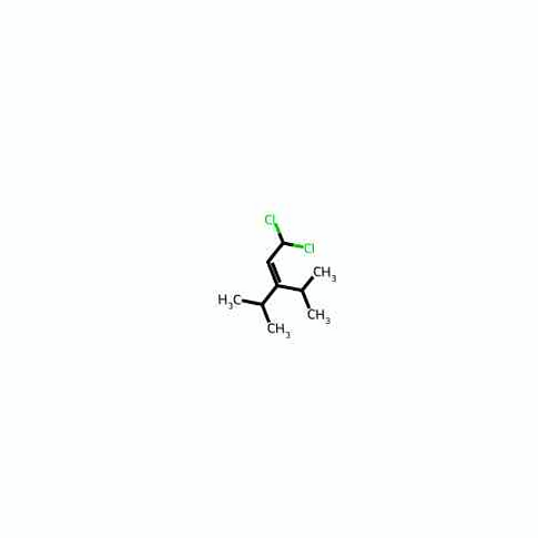 CC(C)C(=CC(Cl)Cl)C(C)C